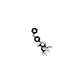 CC(C)CC(C(=O)NO)C(=O)Nc1ccc(Oc2ccccc2)cc1